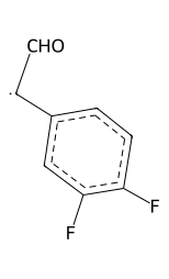 O=C[CH]c1ccc(F)c(F)c1